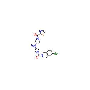 O=C(c1nccs1)N1CCC(NC2CN(C(=O)N3CCc4cc(Br)ccc4C3)C2)C1